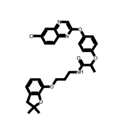 CC(Oc1ccc(Oc2cnc3cc(Cl)ccc3n2)cc1)C(=O)NCCCOc1cccc2c1OC(C)(C)C2